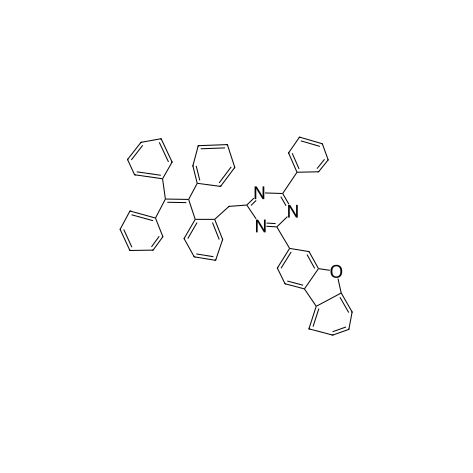 c1ccc(C(=C(c2ccccc2)c2ccccc2Cc2nc(-c3ccccc3)nc(-c3ccc4c(c3)oc3ccccc34)n2)c2ccccc2)cc1